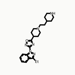 CCc1nn(-c2noc(C3CCN(CCC4CCNCC4)CC3)n2)c2ccccc12